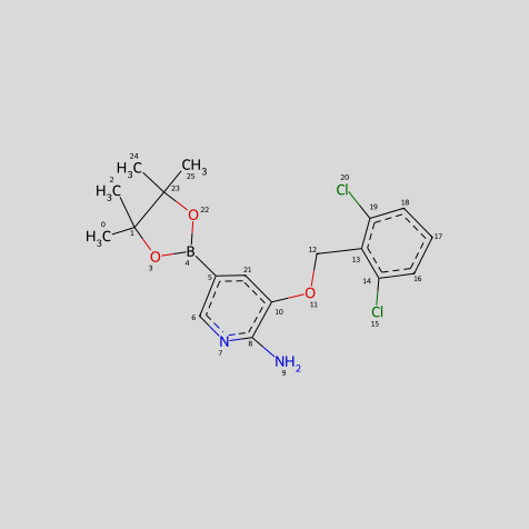 CC1(C)OB(c2cnc(N)c(OCc3c(Cl)cccc3Cl)c2)OC1(C)C